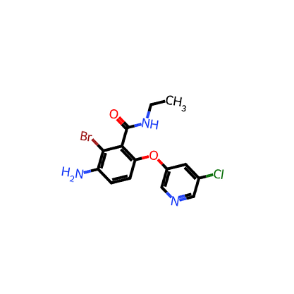 CCNC(=O)c1c(Oc2cncc(Cl)c2)ccc(N)c1Br